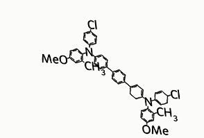 COc1ccc(N(C2=CCC(Cl)C=C2)C2=CC=C(c3ccc(-c4ccc(N(c5ccc(Cl)cc5)c5ccc(OC)cc5C)cc4)cc3)CC2)c(C)c1